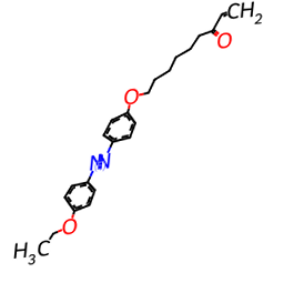 C=CC(=O)CCCCCCOc1ccc(/N=N/c2ccc(OCC)cc2)cc1